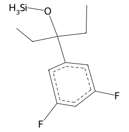 CCC(CC)(O[SiH3])c1cc(F)cc(F)c1